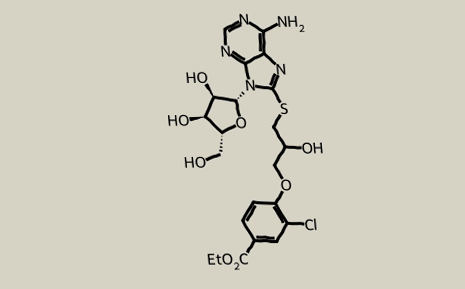 CCOC(=O)c1ccc(OCC(O)CSc2nc3c(N)ncnc3n2[C@@H]2O[C@H](CO)[C@@H](O)[C@H]2O)c(Cl)c1